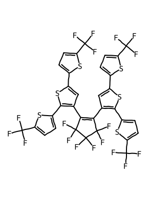 FC(F)(F)c1ccc(-c2cc(C3=C(c4cc(-c5ccc(C(F)(F)F)s5)sc4-c4ccc(C(F)(F)F)s4)C(F)(F)C(F)(F)C3(F)F)c(-c3ccc(C(F)(F)F)s3)s2)s1